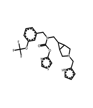 O=C(Oc1cscn1)N(Cc1cccc(OC(F)(F)F)c1)CC1C2CN(Cc3ccc[nH]3)CC21